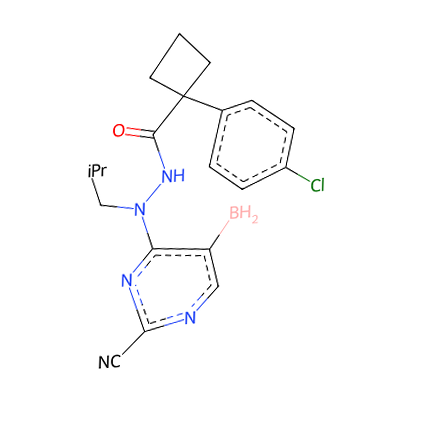 Bc1cnc(C#N)nc1N(CC(C)C)NC(=O)C1(c2ccc(Cl)cc2)CCC1